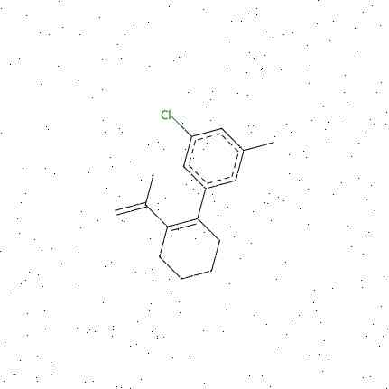 C=C(C)C1=C(c2cc(C)cc(Cl)c2)CCCC1